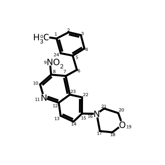 Cc1cccc(Cc2c([N+](=O)[O-])cnc3ccc(N4CCOCC4)cc23)c1